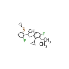 CC(C)c1c(F)ccc(CC(C)c2c(F)cccc2SC2CC2)c1C1CC1